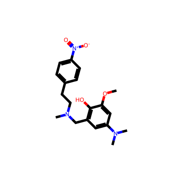 COc1cc(N(C)C)cc(CN(C)CCc2ccc([N+](=O)[O-])cc2)c1O